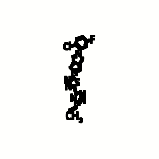 CCCn1nnc(-c2nnc(N3CC4CN(c5cc(F)ccc5Cl)CC4C3)s2)n1